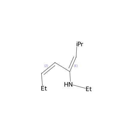 CC/C=C\C(=C/C(C)C)NCC